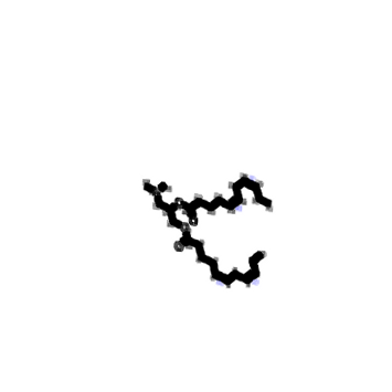 CC/C=C\C/C=C\CCCC(=O)OCC(CN(C)C)OC(=O)CCC/C=C\C/C=C\CC